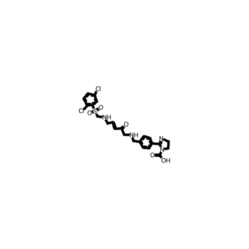 O=C(C=CCNCS(=O)(=O)c1cc(Cl)ccc1Cl)CNCc1ccc(C2=NCCN2C(=O)O)cc1